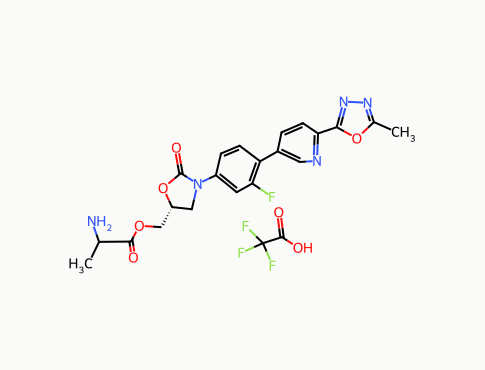 Cc1nnc(-c2ccc(-c3ccc(N4C[C@H](COC(=O)C(C)N)OC4=O)cc3F)cn2)o1.O=C(O)C(F)(F)F